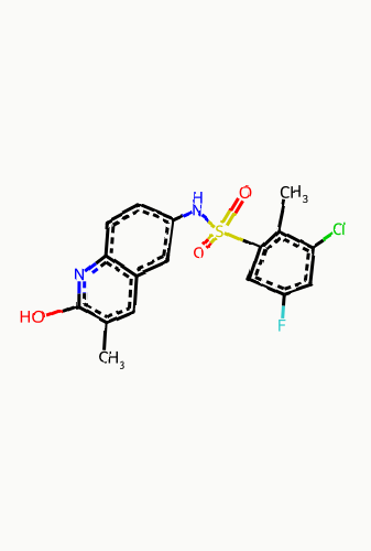 Cc1cc2cc(NS(=O)(=O)c3cc(F)cc(Cl)c3C)ccc2nc1O